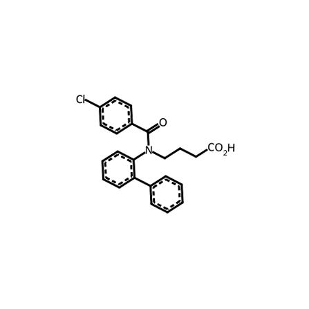 O=C(O)CCCN(C(=O)c1ccc(Cl)cc1)c1ccccc1-c1ccccc1